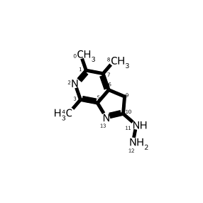 Cc1nc(C)c2c(c1C)CC(NN)=N2